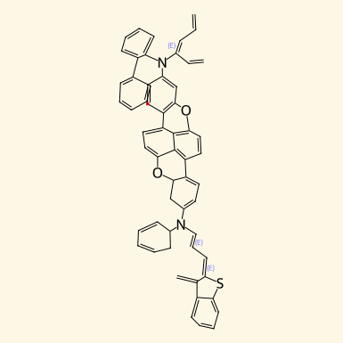 C=C/C=C(\C=C)N(c1ccc2c(c1)Oc1ccc3c4c(ccc-2c14)OC1CC(N(/C=C/C=c2/sc4ccccc4c2=C)C2C=CC=CC2)=CC=C31)c1ccccc1-c1ccccc1